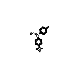 Cc1ccc(N(c2ccc([Si](C)(C)C)cc2)C(C)C)cc1